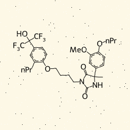 CCCOc1ccc(C2(C)NC(=O)N(CCCCOc3ccc(C(O)(C(F)(F)F)C(F)(F)F)cc3CCC)C2=O)cc1OC